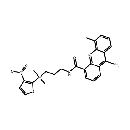 Cc1cccc2c(N)c3cccc(C(=O)NCCC[N+](C)(C)c4sccc4[N+](=O)[O-])c3nc12